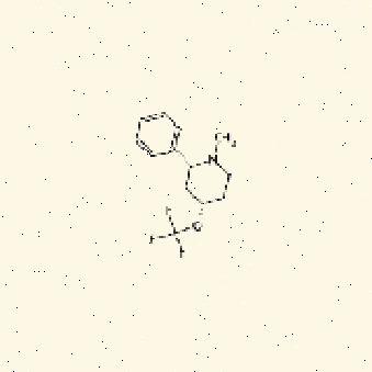 CN1CC[C@H](OC(F)(F)F)C[C@@H]1c1ccccc1